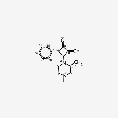 C[C@H]1CNCCN1C1C(=O)C(=O)C1c1ccccc1